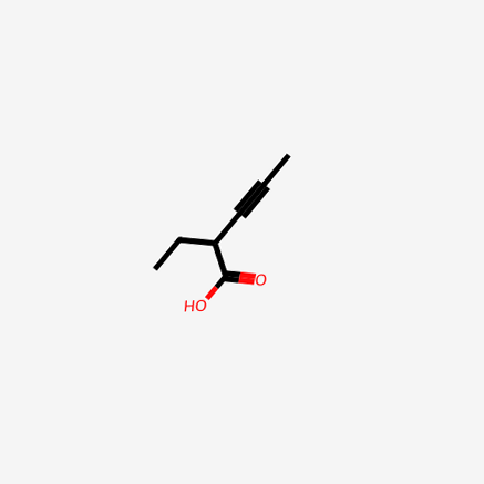 CC#CC(CC)C(=O)O